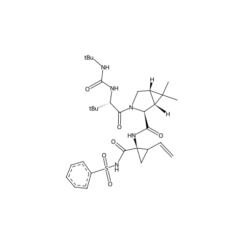 C=CC1C[C@]1(NC(=O)[C@@H]1[C@@H]2[C@H](CN1C(=O)[C@@H](NC(=O)NC(C)(C)C)C(C)(C)C)C2(C)C)C(=O)NS(=O)(=O)c1ccccc1